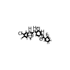 COc1cc(C)c(Cl)cc1NC(=S)Nc1ccc(NC(=O)c2ccccc2F)cc1Cl